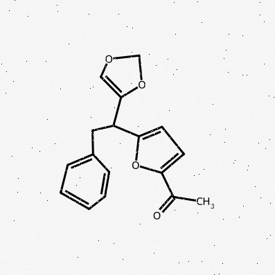 CC(=O)c1ccc(C(Cc2ccccc2)C2=COCO2)o1